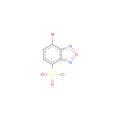 O=S(=O)(Cl)c1ccc(Br)c2nonc12